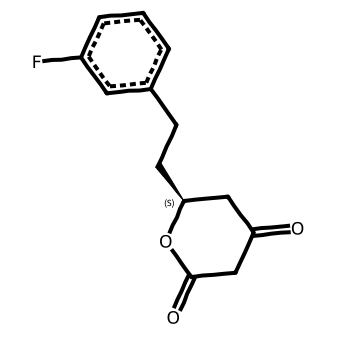 O=C1CC(=O)O[C@@H](CCc2cccc(F)c2)C1